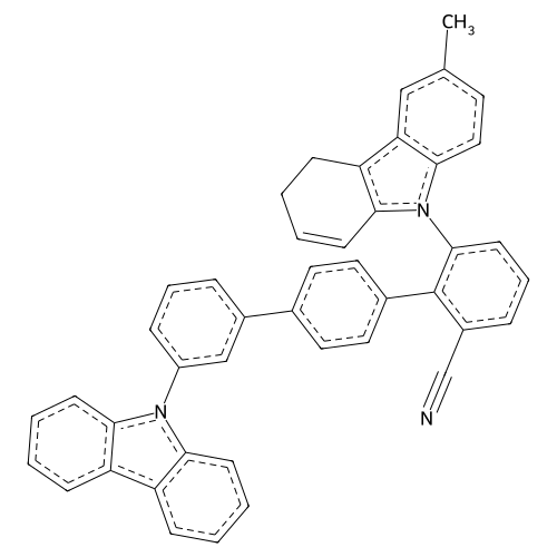 Cc1ccc2c(c1)c1c(n2-c2cccc(C#N)c2-c2ccc(-c3cccc(-n4c5ccccc5c5ccccc54)c3)cc2)C=CCC1